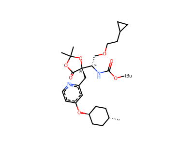 CC(C)(C)OC(=O)N[C@@H](COCCC1CC1)[C@@]1(Cc2cc(O[C@H]3CC[C@H](C)CC3)ccn2)OC(C)(C)OC1=O